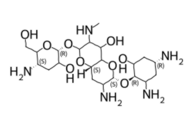 CNC1C(O[C@H]2OC(CO)[C@@H](N)CC2O)O[C@H]2CC(N)[C@@H](O[C@@H]3C(N)C[C@@H](N)CC3O)OC2C1O